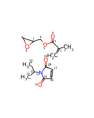 C=C(C)C(=O)OCC1CO1.CC(C)N1C(=O)C=CC1=O